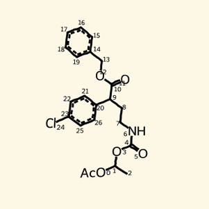 CC(=O)OC(C)OC(=O)NCCC(C(=O)OCc1ccccc1)c1ccc(Cl)cc1